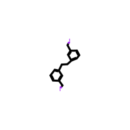 ICc1cccc(CCc2cccc(CI)c2)c1